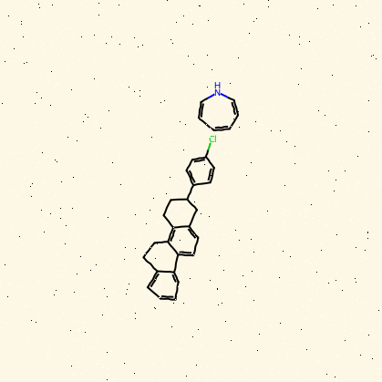 C1=CC=CNC=C1.Clc1ccc(C2CCc3c(ccc4c3CCc3ccccc3-4)C2)cc1